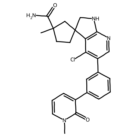 Cn1cccc(-c2cccc(-c3cnc4c(c3Cl)C3(CCC(C)(C(N)=O)C3)CN4)c2)c1=O